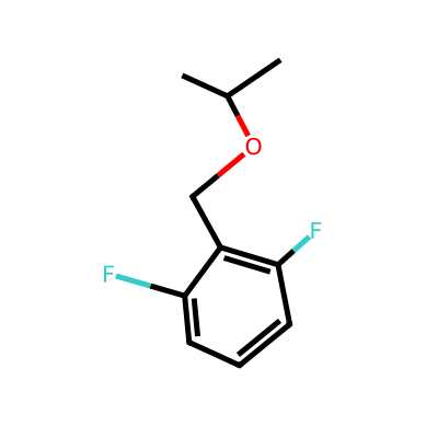 CC(C)OCc1c(F)cccc1F